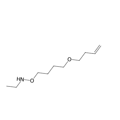 C=CCCOCCCCONCC